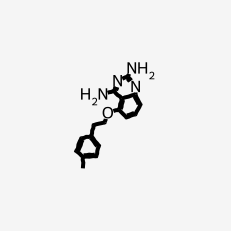 Cc1ccc(CCOc2cccc3nc(N)nc(N)c23)cc1